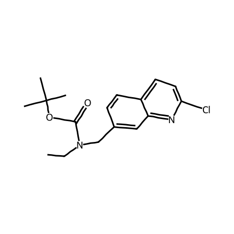 CCN(Cc1ccc2ccc(Cl)nc2c1)C(=O)OC(C)(C)C